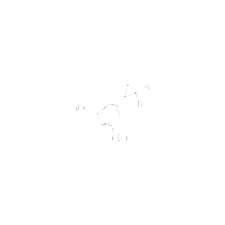 CCCCc1cc(CCCC)cc(C2CC2(Br)Br)c1